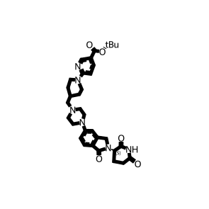 CC(C)(C)OC(=O)c1ccc(N2CCC(CN3CCN(c4ccc5c(c4)CN([C@H]4CCC(=O)NC4=O)C5=O)CC3)CC2)nc1